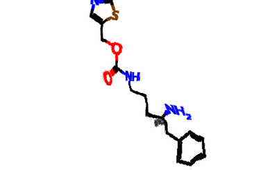 N[C@H](CCCNC(=O)OCc1cncs1)Cc1ccccc1